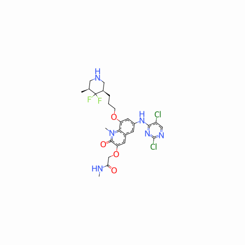 CNC(=O)COc1cc2cc(Nc3nc(Cl)ncc3Cl)cc(OCCC[C@@H]3CNC[C@H](C)C3(F)F)c2n(C)c1=O